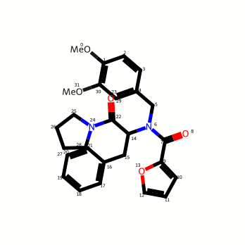 COc1ccc(CN(C(=O)c2ccco2)C(Cc2ccccc2)C(=O)N2CCCC2)cc1OC